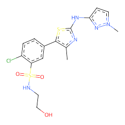 Cc1nc(Nc2ccn(C)n2)sc1-c1ccc(Cl)c(S(=O)(=O)NCCO)c1